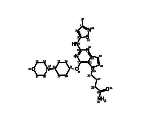 Cc1cc(Nc2nc(O[C@H]3CC[C@H](N4CCOCC4)CC3)c3c(ccn3CCCC(N)=O)n2)sn1